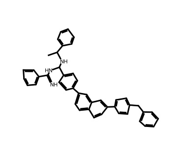 CC(NC(NC(=N)c1ccccc1)c1ccc(-c2ccc3ccc(-c4ccc(Cc5ccccc5)cc4)cc3c2)cc1)c1ccccc1